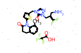 Cc1cccc2c1N(c1ccc(Cn3cnn(CC(CN)=C(F)F)c3=O)s1)C(=O)CC2.O=C(O)C(F)(F)F